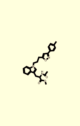 COC(=O)C(Cc1cn(CCCc2cc(-c3ccc(C)cc3)no2)c2ccccc12)NC(C)=O